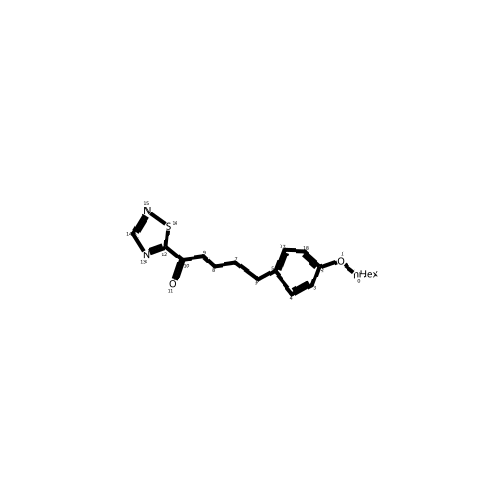 CCCCCCOc1ccc(CCCCC(=O)c2ncns2)cc1